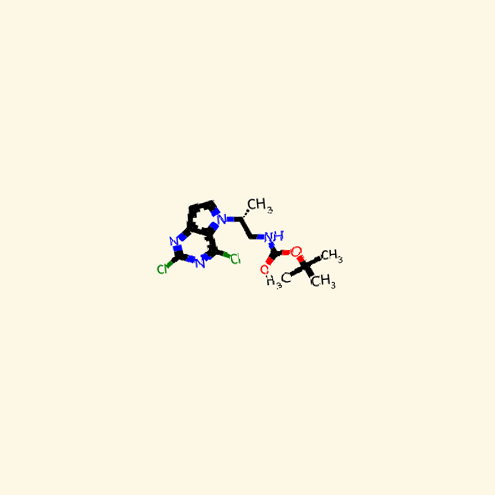 C[C@H](CNC(=O)OC(C)(C)C)n1ccc2nc(Cl)nc(Cl)c21